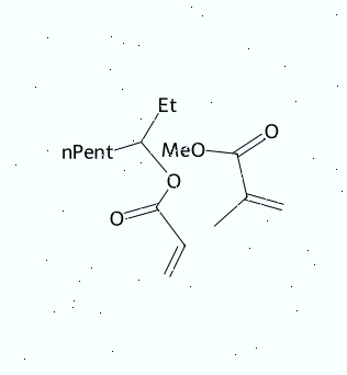 C=C(C)C(=O)OC.C=CC(=O)OC(CC)CCCCC